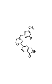 Cc1cc(F)cc(CN2CCOC(c3ccc4c(c3)CNC4=O)C2)c1